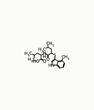 Cc1cccc2[nH]cc(SC(CC(C)C)C(=O)NC(CC(C)C)C(=O)O)c12